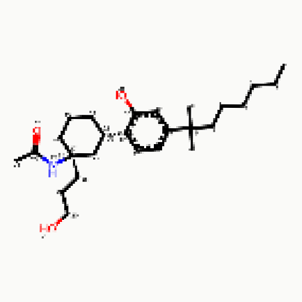 CCCCCCC(C)(C)c1ccc([C@H]2CCC[C@@](CCCO)(NC(C)=O)C2)c(O)c1